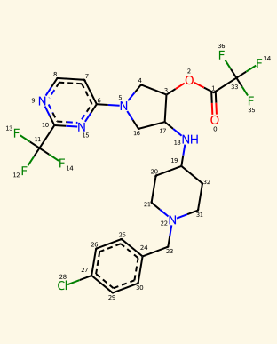 O=C(OC1CN(c2ccnc(C(F)(F)F)n2)CC1NC1CCN(Cc2ccc(Cl)cc2)CC1)C(F)(F)F